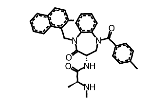 CN[C@@H](C)C(=O)N[C@H]1CN(C(=O)c2ccc(C)cc2)c2ccccc2N(Cc2c(C)ccc3ccccc23)C1=O